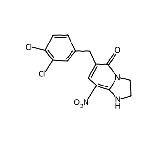 O=c1c(Cc2ccc(Cl)c(Cl)c2)cc([N+](=O)[O-])c2n1CCN2